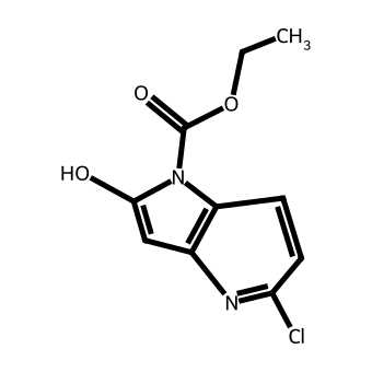 CCOC(=O)n1c(O)cc2nc(Cl)ccc21